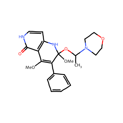 COC1=C(c2ccccc2)C(OC)(OC(C)N2CCOCC2)Nc2cc[nH]c(=O)c21